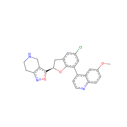 COc1ccc2nccc(-c3cc(Cl)cc4c3O[C@@H](c3onc5c3CNCC5)C4)c2c1